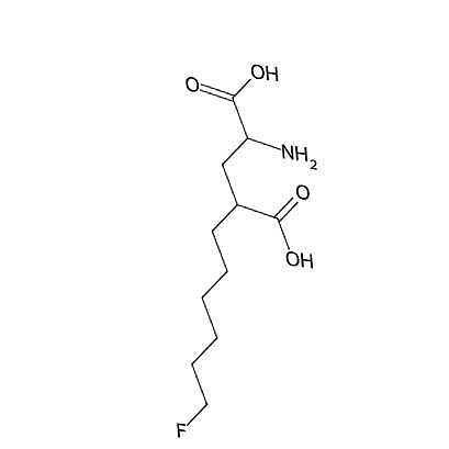 NC(CC(CCCCCCF)C(=O)O)C(=O)O